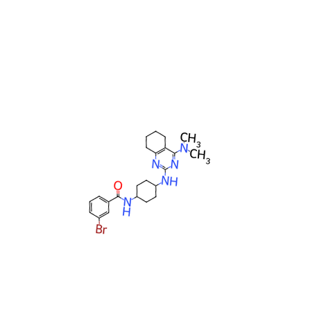 CN(C)c1nc(NC2CCC(NC(=O)c3cccc(Br)c3)CC2)nc2c1CCCC2